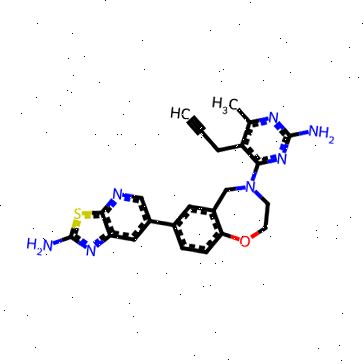 C#CCc1c(C)nc(N)nc1N1CCOc2ccc(-c3cnc4sc(N)nc4c3)cc2C1